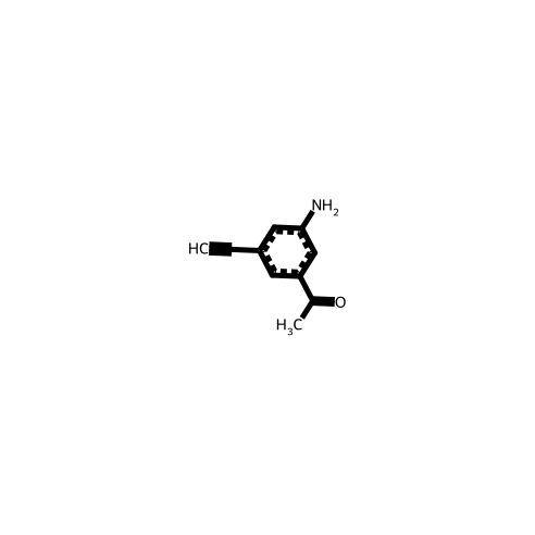 C#Cc1cc(N)cc(C(C)=O)c1